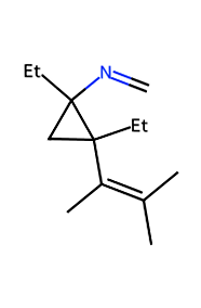 C=NC1(CC)CC1(CC)C(C)=C(C)C